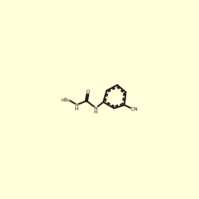 CCCCNC(=O)Nc1cccc(C#N)c1